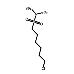 CCCN(CCC)S(=O)(=O)CCCCCCCl